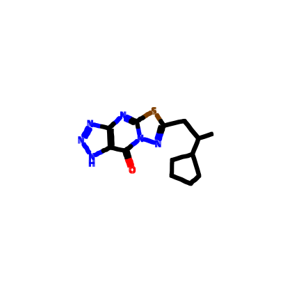 CC(Cc1nn2c(=O)c3[nH]nnc3nc2s1)C1CCCC1